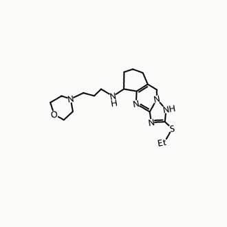 CCSC1=NC2=NC3=C(CCCC3NCCCN3CCOCC3)CN2N1